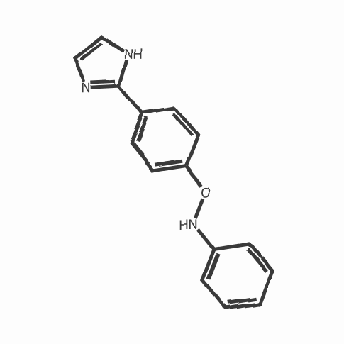 c1ccc(NOc2ccc(-c3ncc[nH]3)cc2)cc1